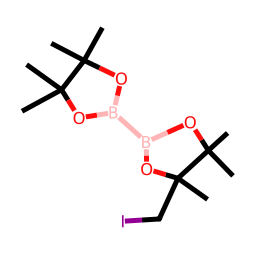 CC1(C)OB(B2OC(C)(C)C(C)(CI)O2)OC1(C)C